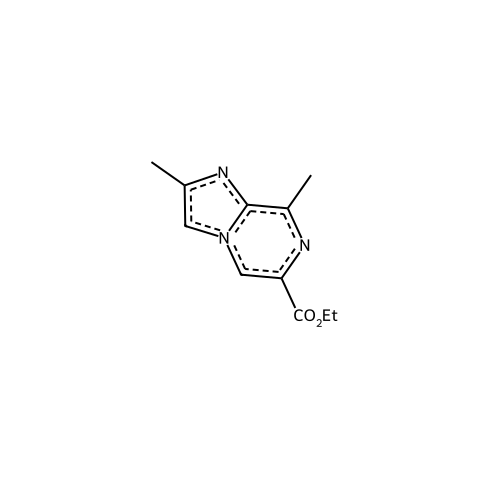 CCOC(=O)c1cn2cc(C)nc2c(C)n1